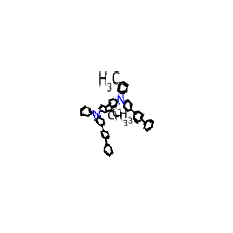 Cc1cccc(N(c2ccc(-c3ccc(-c4ccccc4)cc3)cc2)c2ccc3c(c2)C(C)(C)c2cc(N(c4ccccc4)c4ccc(-c5ccc(-c6ccccc6)cc5)cc4)ccc2-3)c1